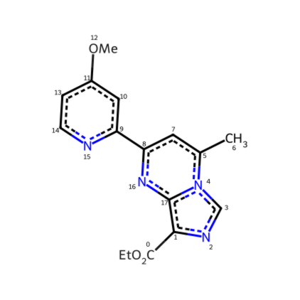 CCOC(=O)c1ncn2c(C)cc(-c3cc(OC)ccn3)nc12